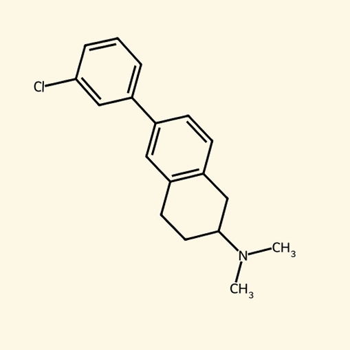 CN(C)C1CCc2cc(-c3cccc(Cl)c3)ccc2C1